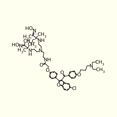 CCN(CC)CCCOc1ccc(C(=O)c2c(-c3ccc(OCC(=O)NCCN(CCNC(C)(C)/C(C)=N/O)CCNC(C)(C)/C(C)=N/O)cc3)oc3ccc(Cl)cc23)cc1